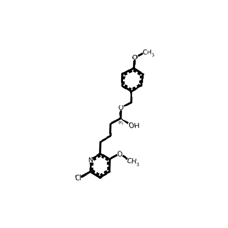 COc1ccc(CO[C@@H](O)CCCc2nc(Cl)ccc2OC)cc1